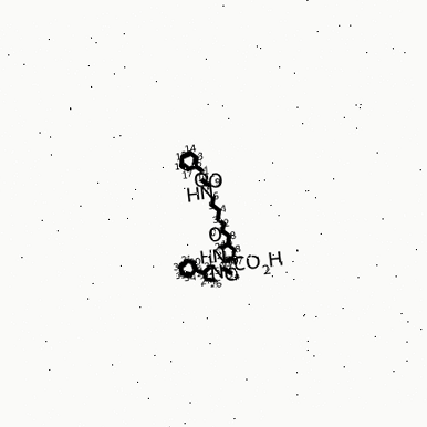 O=C(CCCCCNC(=O)OCc1ccccc1)CC1CN[C@@H](C(=O)N2CCC(c3ccccc3)C2)[C@@H](C(=O)O)C1